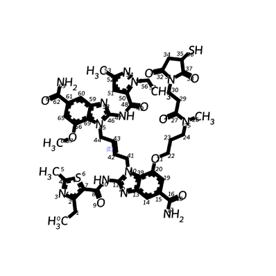 CCc1nc(C)sc1C(=O)Nc1nc2cc(C(N)=O)cc(OCCCN(C)C(=O)CCN3C(=O)CC(S)C3=O)c2n1C/C=C/Cn1c(NC(=O)c2cc(C)nn2CC)nc2cc(C(N)=O)cc(OC)c21